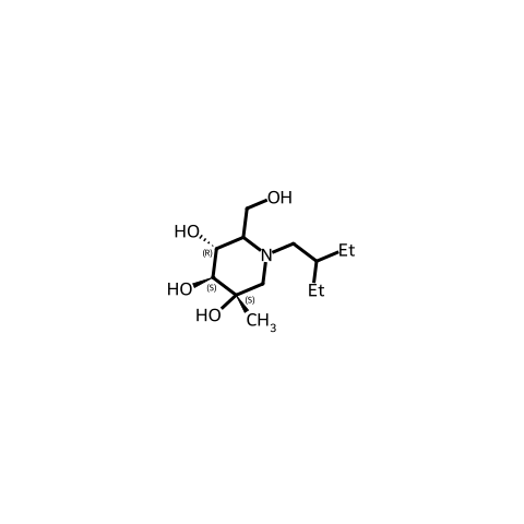 CCC(CC)CN1C[C@](C)(O)[C@@H](O)[C@H](O)C1CO